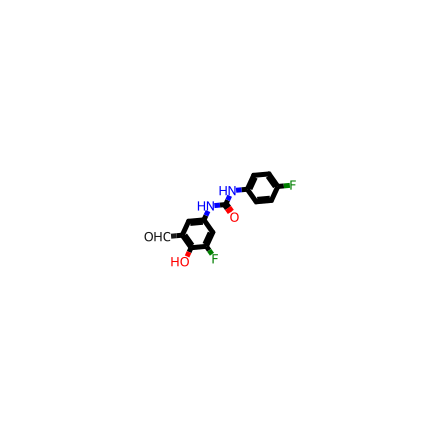 O=Cc1cc(NC(=O)Nc2ccc(F)cc2)cc(F)c1O